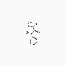 CC(C)(C)OC(=O)C(=[Se])C(Cl)c1ccccc1